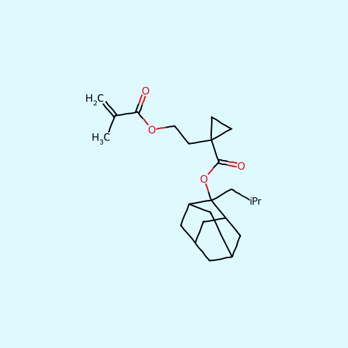 C=C(C)C(=O)OCCC1(C(=O)OC2(CC(C)C)C3CC4CC(C3)CC2C4)CC1